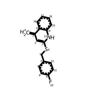 C=C1C=C(SCc2ccc(F)cc2)Nc2ccccc21